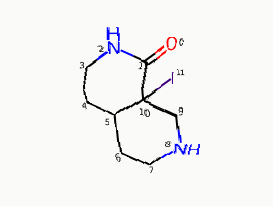 O=C1NCCC2CCNCC12I